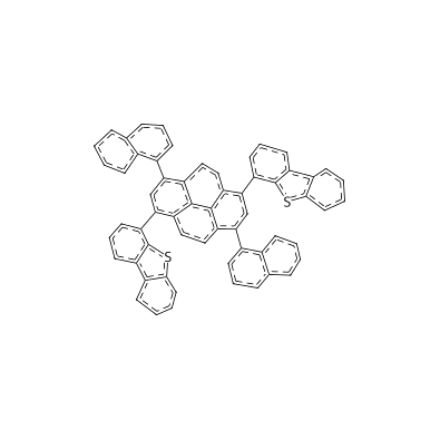 c1ccc2c(-c3cc(-c4cccc5c4sc4ccccc45)c4ccc5c(-c6cccc7ccccc67)cc(-c6cccc7c6sc6ccccc67)c6ccc3c4c56)cccc2c1